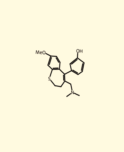 COc1ccc2c(c1)SCCC(CN(C)C)=C2c1cccc(O)c1